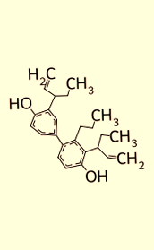 C=CC(CC)c1cc(-c2ccc(O)c(C(C=C)CC)c2CCC)ccc1O